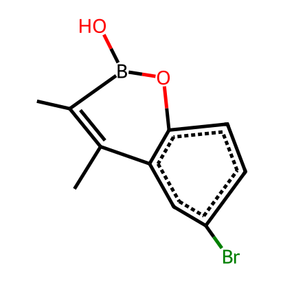 CC1=C(C)c2cc(Br)ccc2OB1O